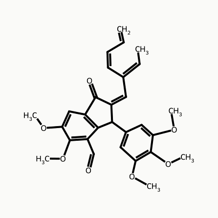 C=C\C=C/C(/C=C1\C(=O)c2cc(OC)c(OC)c(C=O)c2C1c1cc(OC)c(OC)c(OC)c1)=C\C